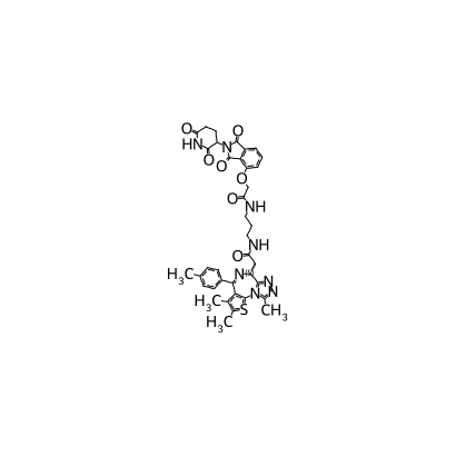 Cc1ccc(C2=N[C@@H](CC(=O)NCCCNC(=O)COc3cccc4c3C(=O)N(C3CCC(=O)NC3=O)C4=O)c3nnc(C)n3-c3sc(C)c(C)c32)cc1